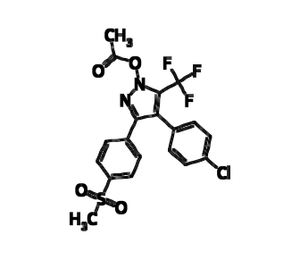 CC(=O)On1nc(-c2ccc(S(C)(=O)=O)cc2)c(-c2ccc(Cl)cc2)c1C(F)(F)F